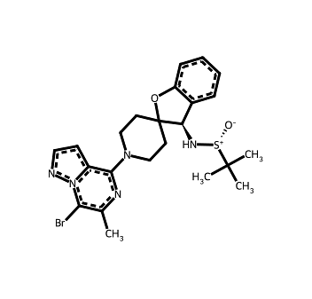 Cc1nc(N2CCC3(CC2)Oc2ccccc2[C@H]3N[S@+]([O-])C(C)(C)C)c2ccnn2c1Br